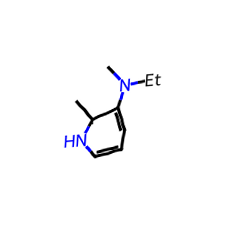 CCN(C)C1=CC=CN[C]1C